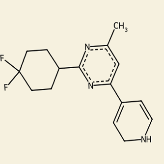 Cc1cc(C2=CCNC=C2)nc(C2CCC(F)(F)CC2)n1